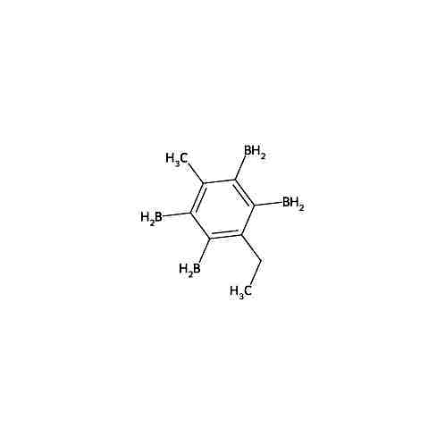 Bc1c(B)c(CC)c(B)c(B)c1C